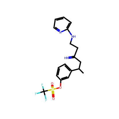 CC(CC(=N)CCNc1ccccn1)c1cccc(OS(=O)(=O)C(F)(F)F)c1